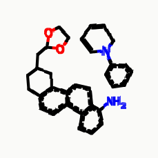 C1=CCN(c2ccccc2)C=C1.Nc1cccc2c1ccc1c3c(ccc12)CCC(CC1OCCO1)C3